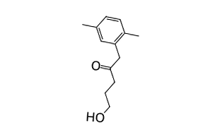 Cc1ccc(C)c(CC(=O)CCCO)c1